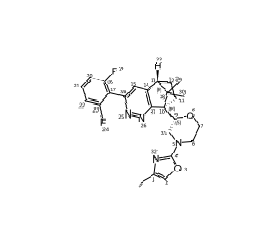 Cc1coc(N2CCO[C@@H]([C@@]34CC[C@@H](c5cc(-c6c(F)cccc6F)nnc53)C4(C)C)C2)n1